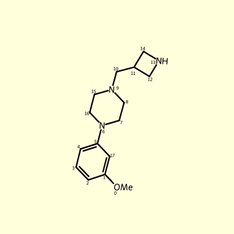 COc1cccc(N2CCN(CC3CNC3)CC2)c1